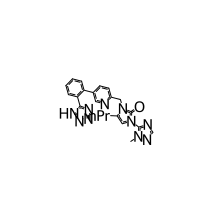 CCCc1cn(-c2ncnn2C)c(=O)n1Cc1ccc(-c2ccccc2-c2nnn[nH]2)cn1